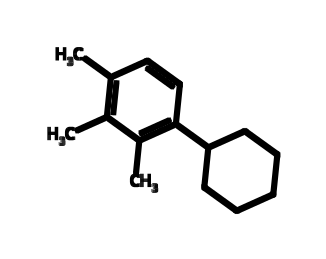 Cc1ccc(C2CCCCC2)c(C)c1C